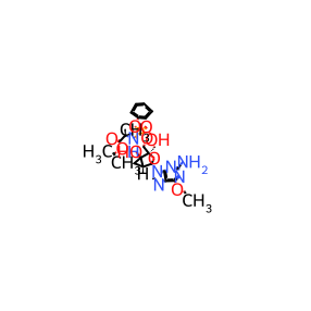 CCOc1nc(N)nc2c1ncn2[C@@H]1O[C@](CO)(COP(=O)(N[C@H](C)C(=O)OC(C)C)Oc2ccccc2)C2(O)C[C@@H]12